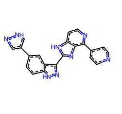 c1cc(-c2nccc3[nH]c(-c4n[nH]c5ccc(-c6cn[nH]c6)cc45)nc23)ccn1